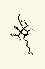 CCCCOC(=O)C(C#N)(C(C)C)C(CCCC)(C(=O)O)C(C)C